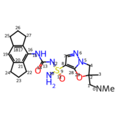 CNCC1(C)Cn2ncc(S(N)(=O)=NC(=O)Nc3c4c(cc5c3CCC5)CCC4)c2O1